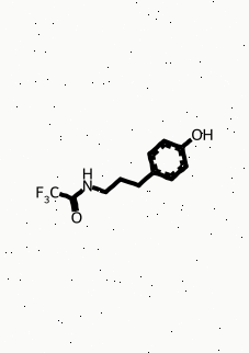 O=C(NCCCc1ccc(O)cc1)C(F)(F)F